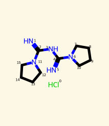 Cl.N=C(NC(=N)N1CCCC1)N1CCCC1